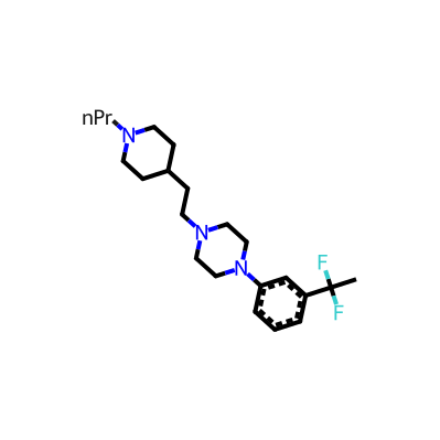 CCCN1CCC(CCN2CCN(c3cccc(C(C)(F)F)c3)CC2)CC1